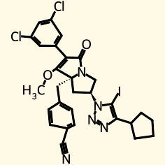 COC1=C(c2cc(Cl)cc(Cl)c2)C(=O)N2C[C@@H](n3nnc(C4CCCC4)c3I)C[C@@]12Cc1ccc(C#N)cc1